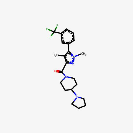 Cc1c(C(=O)N2CCC(N3CCCC3)CC2)nn(C)c1-c1cccc(C(F)(F)F)c1